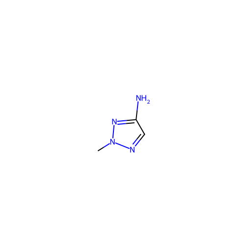 Cn1ncc(N)n1